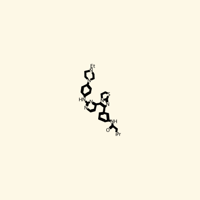 CCN1CCN(c2ccc(Nc3nccc(-c4c(-c5cccc(NC(=O)CC(C)C)c5)nc5n4CCS5)n3)cc2)CC1